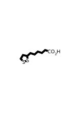 O=C(O)CCCCCC1CCSS1